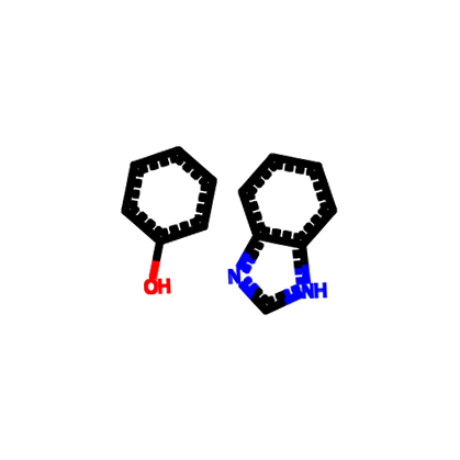 Oc1ccccc1.c1ccc2[nH]cnc2c1